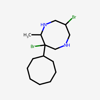 CC1NCC(Br)CNCC1(Br)C1CCCCCCC1